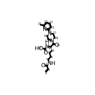 C=CC(=O)NCCCC[C@H](NC(=O)O)C(=O)N1CCN(c2cccc(C)n2)CC1